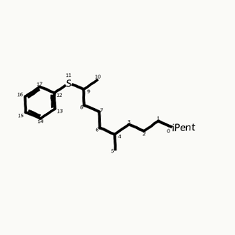 CCCC(C)CCCC(C)CCCC(C)Sc1ccccc1